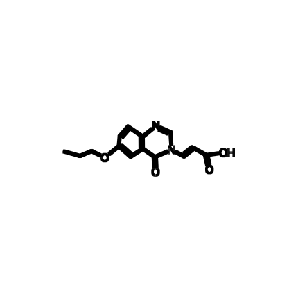 CCCOc1ccc2ncn(C=CC(=O)O)c(=O)c2c1